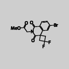 COC(=O)CN1C(=O)c2ccc(Br)cc2C2(CC(F)(F)C2)C1=O